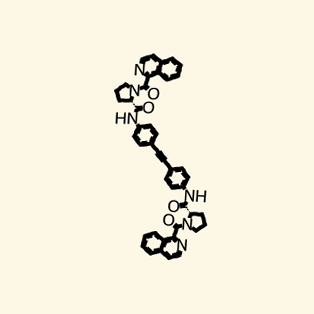 O=C(Nc1ccc(C#Cc2ccc(NC(=O)[C@@H]3CCCN3C(=O)c3nccc4ccccc34)cc2)cc1)[C@@H]1CCCN1C(=O)c1nccc2ccccc12